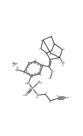 COC(=C1C2CC3CC(C2)CC1(Cl)C3)c1ccc(Cl)c(OP(=O)([O-])OCCC#N)c1.[Na+]